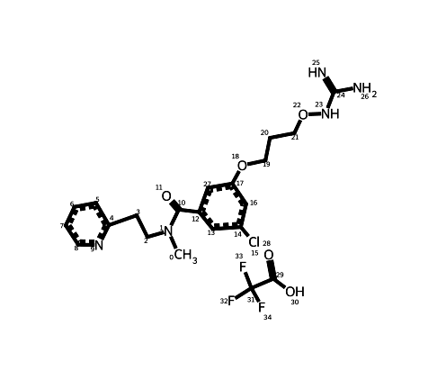 CN(CCc1ccccn1)C(=O)c1cc(Cl)cc(OCCCONC(=N)N)c1.O=C(O)C(F)(F)F